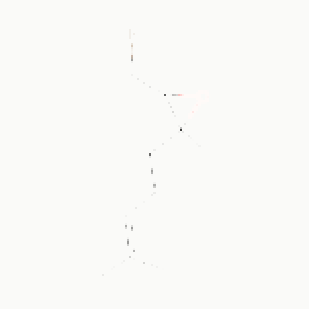 CC(C)=CCCC1(C)OC1CBr